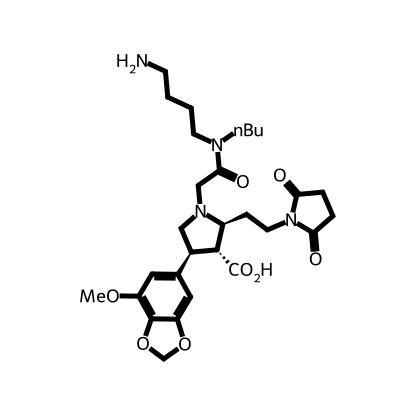 CCCCN(CCCCN)C(=O)CN1C[C@H](c2cc(OC)c3c(c2)OCO3)[C@@H](C(=O)O)[C@@H]1CCN1C(=O)CCC1=O